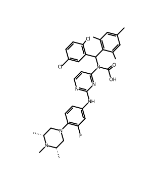 Cc1cc(C)c(C(c2cc(Cl)ccc2Cl)N(C(=O)O)c2ccnc(Nc3ccc(N4C[C@@H](C)N(C)[C@@H](C)C4)c(F)c3)n2)c(C)c1